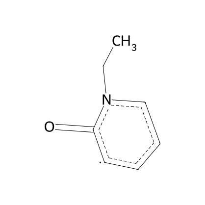 CCn1ccc[c]c1=O